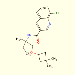 CC1(C)CC(OCC(C)(CC(F)(F)F)NC(=O)c2cnc3c(Cl)cccc3c2)C1